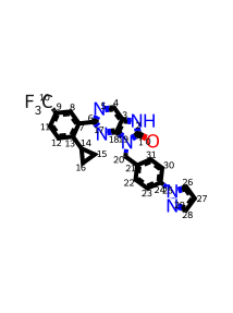 O=c1[nH]c2cnc(-c3cc(C(F)(F)F)ccc3C3CC3)nc2n1Cc1ccc(-n2cccn2)cc1